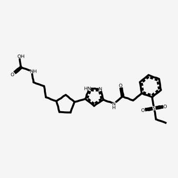 CCS(=O)(=O)c1ccccc1CC(=O)Nc1cc(C2CCC(CCCNC(=O)O)C2)[nH]n1